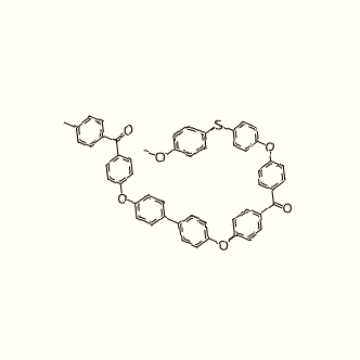 COc1ccc(Sc2ccc(Oc3ccc(C(=O)c4ccc(Oc5ccc(-c6ccc(Oc7ccc(C(=O)c8ccc(C)cc8)cc7)cc6)cc5)cc4)cc3)cc2)cc1